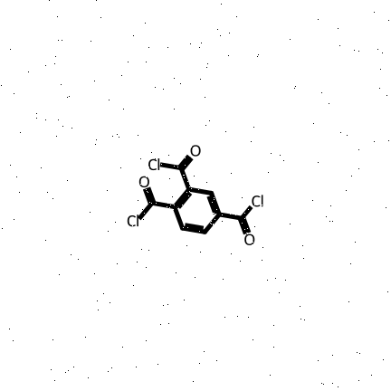 O=C(Cl)c1ccc(C(=O)Cl)c(C(=O)Cl)c1